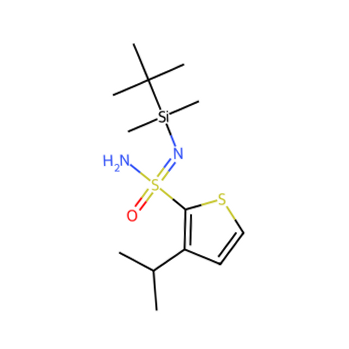 CC(C)c1ccsc1S(N)(=O)=N[Si](C)(C)C(C)(C)C